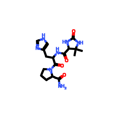 CC1(C)NC(=O)NC1C(=O)NC(Cc1c[nH]cn1)C(=O)N1CCCC1C(N)=O